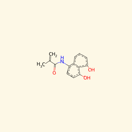 C=C(C)C(=O)Nc1ccc(O)c2c(O)cccc12